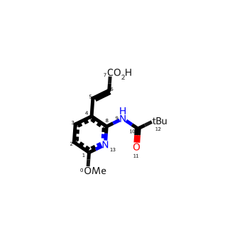 COc1ccc(C=CC(=O)O)c(NC(=O)C(C)(C)C)n1